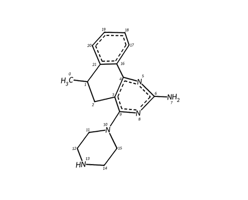 CC1Cc2c(nc(N)nc2N2CCNCC2)-c2ccccc21